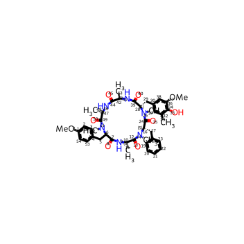 COc1ccc(CC2C(=O)N[C@@H](C)C(=O)N(C)[C@@H](Cc3ccccc3)C(=O)N(C)[C@@H](Cc3cc(C)c(O)c(OC)c3)C(=O)N[C@H](C)C(=O)N[C@@H](C)C(=O)N2C)cc1